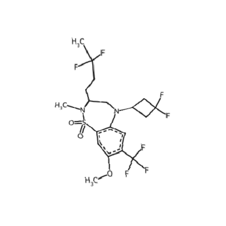 COc1cc2c(cc1C(F)(F)F)N(C1CC(F)(F)C1)CC(CCC(C)(F)F)N(C)S2(=O)=O